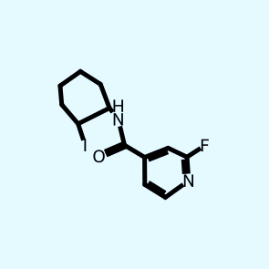 O=C(NC1CCCCC1I)c1ccnc(F)c1